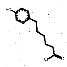 O=C(Cl)CCCCCc1ccc(O)cc1